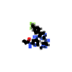 C=CC(=O)Nc1cc(Nc2nc(Nc3cnn(C)c3)ncc2-c2ccc(C(F)(F)F)cc2)ccn1